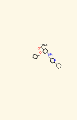 COC(=O)c1ccc(NCc2ccc(C3CCCCC3)nc2)cc1OCc1ccccc1